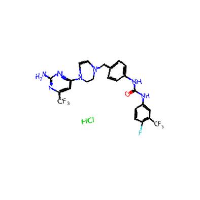 Cl.Nc1nc(N2CCN(Cc3ccc(NC(=O)Nc4ccc(F)c(C(F)(F)F)c4)cc3)CC2)cc(C(F)(F)F)n1